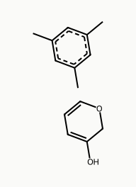 Cc1cc(C)cc(C)c1.OC1=CC=COC1